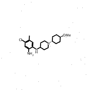 CO[C@H]1CC[C@H](N2CCC(Nc3cc(C)c(Cl)cc3N)CC2)CC1